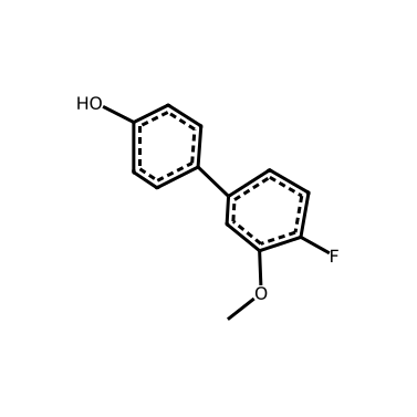 COc1cc(-c2ccc(O)cc2)ccc1F